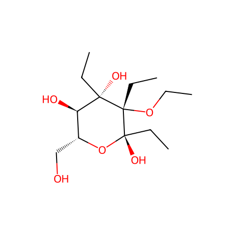 CCO[C@]1(CC)[C@](O)(CC)O[C@H](CO)[C@@H](O)[C@@]1(O)CC